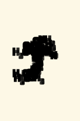 COC(=O)C1CCC(C(C)(C(N)=O)n2c(COc3ccc(OC4CCN(C(=O)OC(C)(C)C)CC4)cc3)nc3cc(C#N)ccc32)CC1